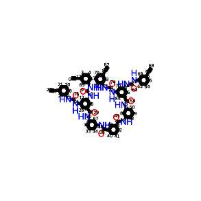 C#Cc1cccc(NC(=O)Nc2cc(NC(=O)Nc3cccc(C#C)c3)cc(C(=O)Nc3cccc(NC(=O)c4cccc(C(=O)Nc5cccc(NC(=O)c6cc(NC(=O)Nc7cccc(C#C)c7)cc(NC(=O)Nc7cccc(C#C)c7)c6)c5)c4)c3)c2)c1